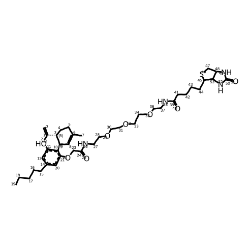 C=C(C)[C@@H]1CCC(C)=C[C@H]1c1c(O)cc(CCCCC)cc1OCC(=O)NCCOCCOCCOCCNC(=O)CCCCC1SCC2NC(=O)NC21